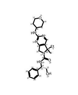 CC[C@]1(C)c2cnc(NC3CCOCC3)nc2CN1C(=O)N[C@H](CO)c1ccccc1